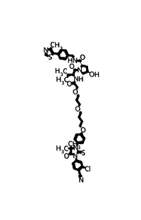 Cc1ncsc1-c1ccc(CNC(=O)[C@@H]2C[C@@H](O)CN2C(=O)C(NC(=O)COCCCOCCCCOc2ccc(N3C(=S)N(c4ccc(C#N)c(Cl)c4)C(=O)C3(C)C)cc2)C(C)C)cc1